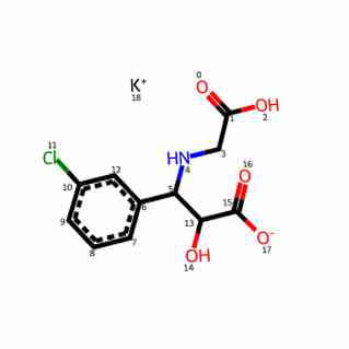 O=C(O)CNC(c1cccc(Cl)c1)C(O)C(=O)[O-].[K+]